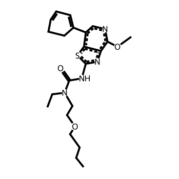 CCCCOCCN(CC)C(=O)Nc1nc2c(OC)ncc(C3=CC=CCC3)c2s1